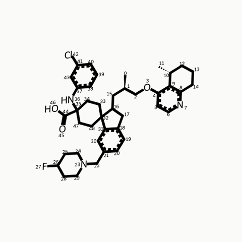 C[C@@H](COc1ccnc2c1[C@H](C)CCC2)CC1Cc2ccc(CN3CCC(F)CC3)cc2C12CCC(Nc1cccc(Cl)c1)(C(=O)O)CC2